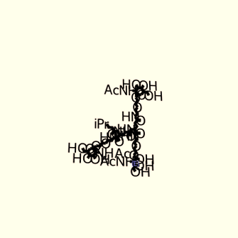 CC(=O)N/C(=C(/O)CO)C(O)OCCOCCNC(=O)C(CCC(=O)NCCOCCOC1OC(CO)C(O)C(O)C1NC(C)=O)NC(=O)CCC(NC(=O)CCC(C)C)C(=O)NCCOCCOC1OC(CO)C(O)C(O)C1NC(C)=O